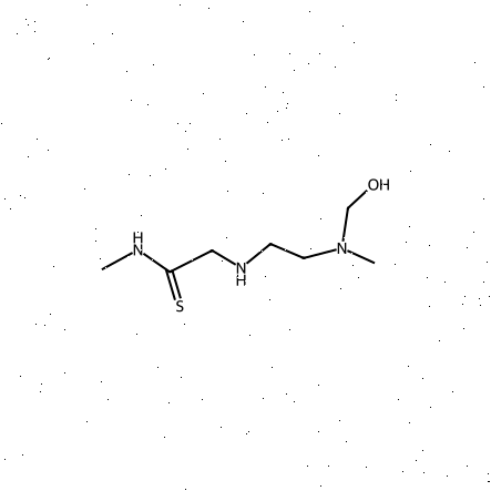 CNC(=S)CNCCN(C)CO